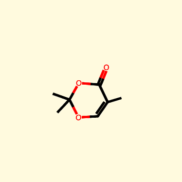 CC1=COC(C)(C)OC1=O